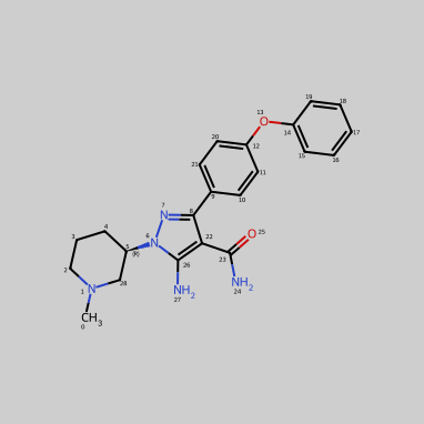 CN1CCC[C@@H](n2nc(-c3ccc(Oc4ccccc4)cc3)c(C(N)=O)c2N)C1